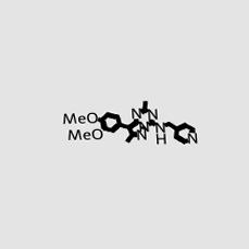 COc1ccc(-c2c(C)nn3c(NCc4ccncc4)nc(C)nc23)cc1OC